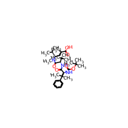 C/C(=C\[C@H](C(C)C)N(C)C(=O)[C@@H](NC(=O)[C@@H](NC(=O)OC(C)(C)C)C(C)(C)c1ccccc1)C(C)(C)C)C(=O)O